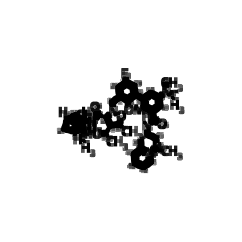 COc1c(CN2O[C@@H](C)[C@@H]([C@H](C)O)[C@H]2C(=O)N[C@H]2C[C@H]3C[C@@H]([C@@H]2C)C3(C)C)cc(F)cc1-c1cc(C(=O)N[C@@H](Cc2ccccn2)CN(C)C)cc(N(C)C)c1